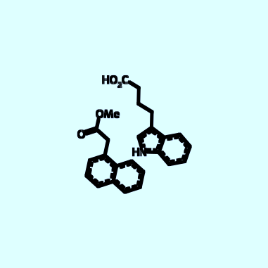 COC(=O)Cc1cccc2ccccc12.O=C(O)CCCc1c[nH]c2ccccc12